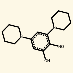 O=Nc1c(O)cc(N2CCCCC2)cc1N1CCCCC1